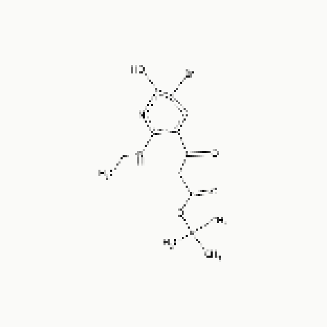 CCNc1nc(O)c(Br)cc1C(=O)CC(=O)OC(C)(C)C